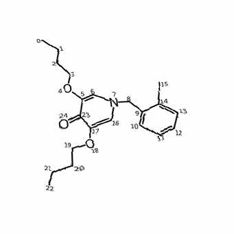 CCCCOc1cn(Cc2ccccc2I)cc(OCCCC)c1=O